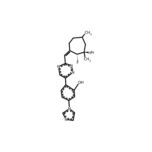 CCC[C@]1(C)CC(C)CC/C(=C/c2ncc(-c3ccc(-n4ccnc4)cc3O)nn2)[C@H]1F